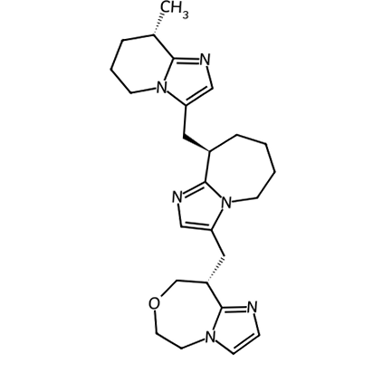 C[C@H]1CCCn2c(C[C@H]3CCCCn4c(C[C@H]5COCCn6ccnc65)cnc43)cnc21